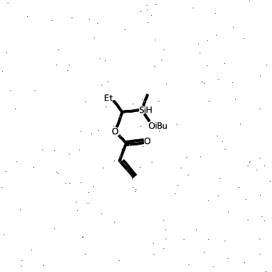 C=CC(=O)OC(CC)[SiH](C)OCC(C)C